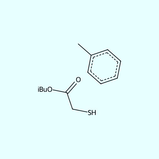 CC(C)COC(=O)CS.Cc1ccccc1